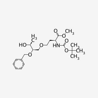 COC(=O)[C@H](CCOC[C@@H](OCc1ccccc1)[C@H](C)O)NC(=O)OC(C)(C)C